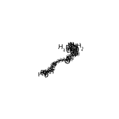 CC(C)n1nc(-c2noc(C3CC3)c2-c2ccc(C3CCN(C(=O)CCCCCCCN4CCC(c5ccc(NC6CCC(=O)NC6=O)cc5F)CC4)CC3)cn2)c2c(N)ncnc21